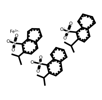 CC(C)c1ccc2ccccc2c1S(=O)(=O)[O-].CC(C)c1ccc2ccccc2c1S(=O)(=O)[O-].CC(C)c1ccc2ccccc2c1S(=O)(=O)[O-].[Fe+3]